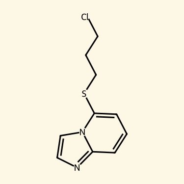 ClCCCSc1cccc2nccn12